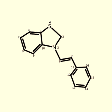 C(=CN1CSc2ccccc21)c1ccccc1